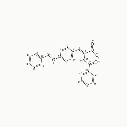 O=C(O)C(=Cc1ccc(OCc2ccccc2)cc1)NC(=O)c1ccccc1